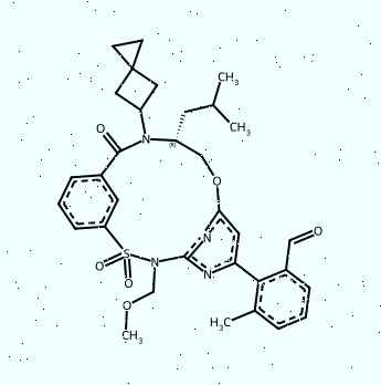 COCN1c2nc(cc(-c3c(C)cccc3C=O)n2)OC[C@@H](CC(C)C)N(C2CC3(CC3)C2)C(=O)c2cccc(c2)S1(=O)=O